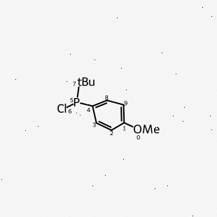 COc1ccc(P(Cl)C(C)(C)C)cc1